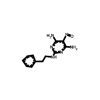 Nc1nc(NCCc2ccccc2)nc(N)c1N=O